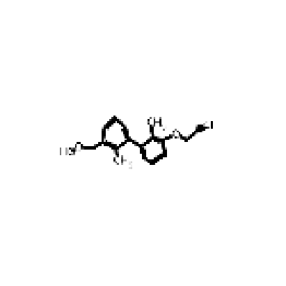 C#CCOc1cccc(-c2cccc(COO)c2C)c1C